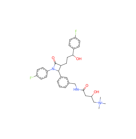 C[N+](C)(C)CC(O)CC(=O)NCc1cccc(C2C(CCC(O)c3ccc(F)cc3)C(=O)N2c2ccc(F)cc2)c1